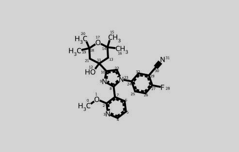 COc1ncccc1-c1nc(C2(O)CC(C)(C)OC(C)(C)C2)cn1-c1ccc(F)c(C#N)c1